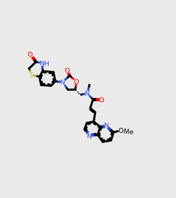 COc1ccc2nccc(/C=C/C(=O)N(C)C[C@@H]3CN(c4ccc5c(c4)NC(=O)CS5)C(=O)O3)c2n1